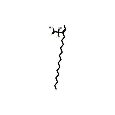 CC=C(CCCCCCCCCCCCCCC)C(O)(O)C(N)=O